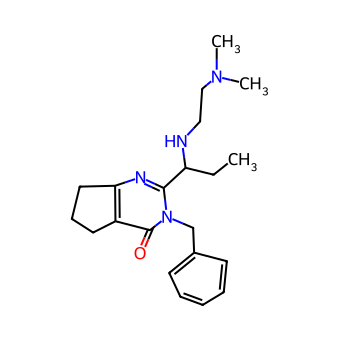 CCC(NCCN(C)C)c1nc2c(c(=O)n1Cc1ccccc1)CCC2